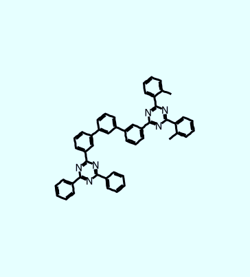 Cc1ccccc1-c1nc(-c2cccc(-c3cccc(-c4cccc(-c5nc(-c6ccccc6)nc(-c6ccccc6)n5)c4)c3)c2)nc(-c2ccccc2C)n1